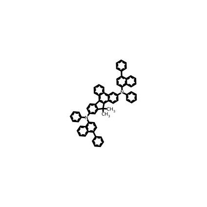 CC1(C)c2cc(N(c3ccccc3)c3ccc(-c4ccccc4)c4ccccc34)ccc2-c2c1c1ccc(N(c3ccccc3)c3ccc(-c4ccccc4)c4ccccc34)cc1c1ccccc21